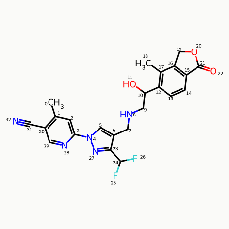 Cc1cc(-n2cc(CNCC(O)c3ccc4c(c3C)COC4=O)c(C(F)F)n2)ncc1C#N